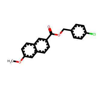 COc1ccc2cc(C(=O)OCc3ccc(Cl)cc3)ccc2c1